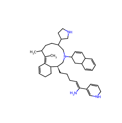 C/C1=C2/C=CCCC2[C@H](CCC/C=C(\N)C2=CNCC=C2)CN(C2C=CC3C=CC=CC3C2)CC(C2CCNC2)CCC1C